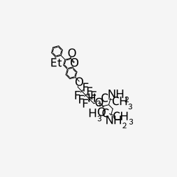 CCc1ccccc1-c1cc2ccc(OCC(F)(F)C(F)(F)C(F)(F)COC(=O)C(CC(C)(C)N)C(C)(C)N)cc2oc1=O